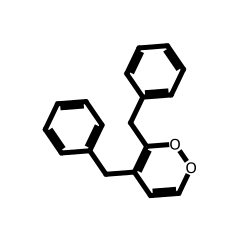 C1=CC(Cc2ccccc2)=C(Cc2ccccc2)OO1